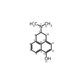 CN(C)C1Cc2cccc3c(O)ccc(c23)C1